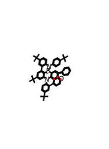 CC(C)(C)c1ccc(N2B3c4cc5c(cc4N(c4ccc(C(C)(C)C)cc4-c4ccccc4)c4cc(C(C)(C)C)cc(c43)-c3cc(C(C)(C)C)ccc32)oc2ccccc25)cc1